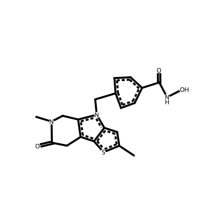 Cc1cc2c(s1)c1c(n2Cc2ccc(C(=O)NO)cc2)CN(C)C(=O)C1